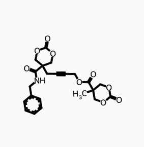 CC1(C(=O)OCC#CCC2(C(=O)NCc3ccccc3)COC(=O)OC2)COC(=O)OC1